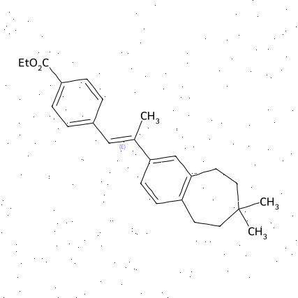 CCOC(=O)c1ccc(/C=C(\C)c2ccc3c(c2)CCC(C)(C)CC3)cc1